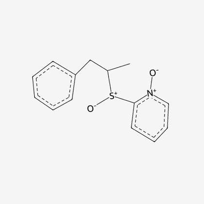 CC(Cc1ccccc1)[S+]([O-])c1cccc[n+]1[O-]